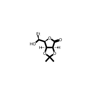 CC[C@H](O)[C@H]1OC(=O)[C@H]2OC(C)(C)O[C@@H]12